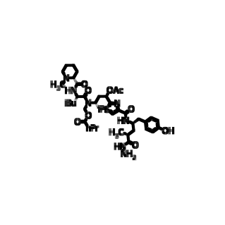 CCCC(=O)OCN(C(=O)C(NC(=O)[C@H]1CCCCN1C)[C@@H](C)CC)[C@H](C[C@@H](OC(C)=O)c1nc(C(=O)N[C@@H](Cc2ccc(O)cc2)C[C@H](C)C(=O)NN)cs1)C(C)C